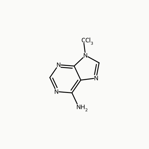 Nc1ncnc2c1ncn2C(Cl)(Cl)Cl